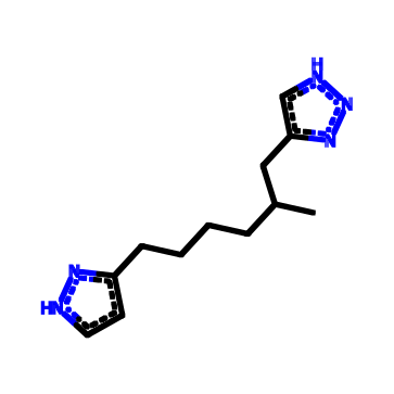 CC(CCCCc1cc[nH]n1)Cc1c[nH]nn1